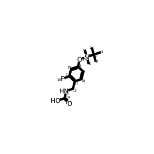 CC(C)(C)[Si](C)(C)Oc1ccc(CNC(=O)O)c(F)c1